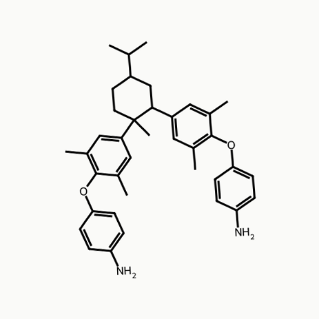 Cc1cc(C2CC(C(C)C)CCC2(C)c2cc(C)c(Oc3ccc(N)cc3)c(C)c2)cc(C)c1Oc1ccc(N)cc1